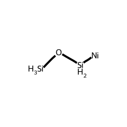 [SiH3]O[SiH2][Ni]